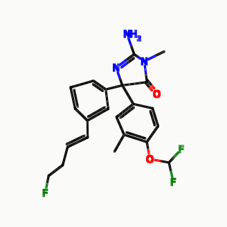 Cc1cc(C2(c3cccc(C=CCCF)c3)N=C(N)N(C)C2=O)ccc1OC(F)F